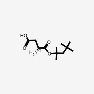 CC(C)(C)CC(C)(C)OC(=O)[C@@H](N)CC(=O)O